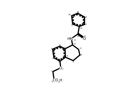 O=C(O)COc1cccc2c1CCCC2NC(=O)c1ccccc1